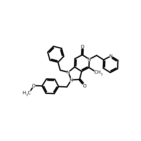 COc1ccc(Cn2c(=O)c3c(C)n(Cc4ccccn4)c(=O)cc3n2Cc2ccccc2)cc1